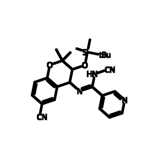 CC1(C)Oc2ccc(C#N)cc2C(N=C(NC#N)c2cccnc2)C1O[Si](C)(C)C(C)(C)C